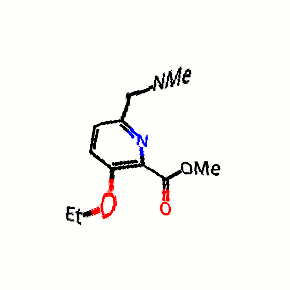 CCOc1ccc(CNC)nc1C(=O)OC